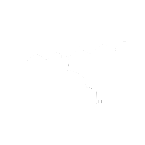 CCCC[SiH](OCCOC)OCCOC